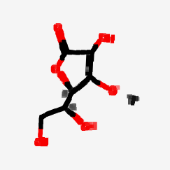 O=C1O[C@H]([C@@H](O)CO)C([O-])=C1O.[Tl+]